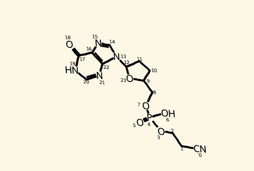 N#CCCOP(=O)(O)OCC1CCC(n2cnc3c(=O)[nH]cnc32)O1